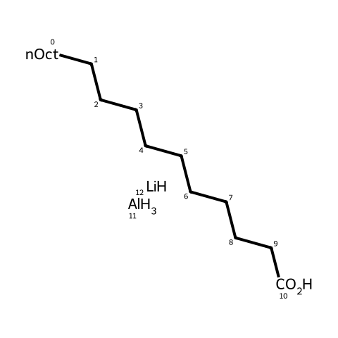 CCCCCCCCCCCCCCCCCC(=O)O.[AlH3].[LiH]